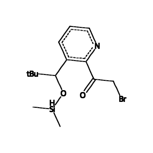 C[SiH](C)OC(c1cccnc1C(=O)CBr)C(C)(C)C